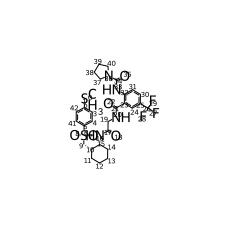 CSc1ccc(S(=O)(=O)C[C@H]2CCCC[C@H]2NC(=O)CNC(=O)c2cc(C(F)(F)F)ccc2NC(=O)N2CCCC2)cc1